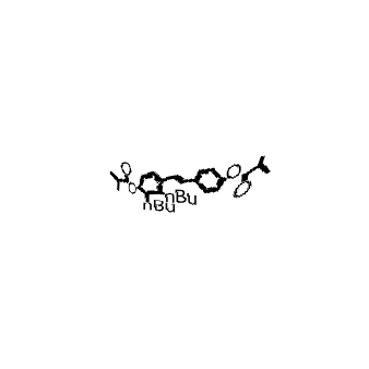 C=C(C)C(=O)Oc1ccc(C=Cc2ccc(OC(=O)C(=C)C)c(CCCC)c2CCCC)cc1